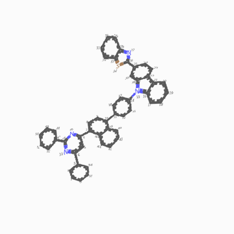 c1ccc(-c2cc(-c3ccc(-c4ccc(-n5c6ccccc6c6ccc(-c7nc8ccccc8s7)cc65)cc4)c4ccccc34)nc(-c3ccccc3)n2)cc1